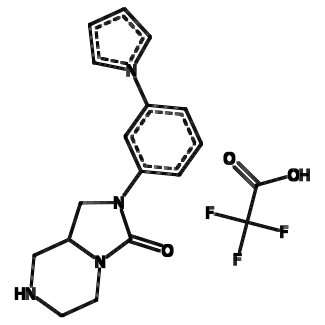 O=C(O)C(F)(F)F.O=C1N(c2cccc(-n3cccc3)c2)CC2CNCCN12